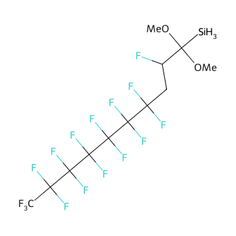 COC([SiH3])(OC)C(F)CC(F)(F)C(F)(F)C(F)(F)C(F)(F)C(F)(F)C(F)(F)C(F)(F)F